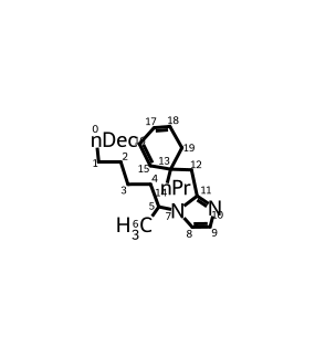 CCCCCCCCCCCCCCC(C)n1ccnc1CC1(CCC)C=CC=CC1